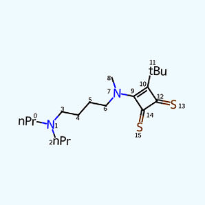 CCCN(CCC)CCCCN(C)c1c(C(C)(C)C)c(=S)c1=S